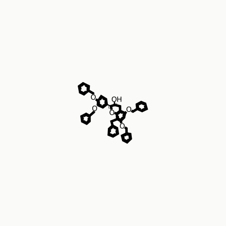 O[C@H]1Cc2c(OCc3ccccc3)cc(OCc3ccccc3)c(Cc3ccccc3)c2O[C@H]1c1ccc(OCc2ccccc2)c(OCc2ccccc2)c1